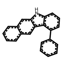 c1ccc(-c2cccc3[nH]c4cc5ccccc5cc4c23)cc1